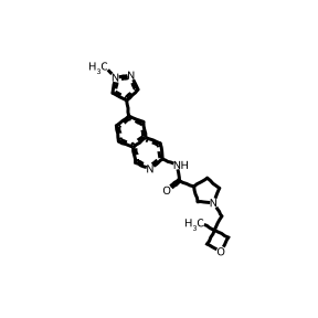 Cn1cc(-c2ccc3cnc(NC(=O)C4CCN(CC5(C)COC5)C4)cc3c2)cn1